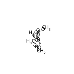 C=CC(=O)N1CCC=C(c2c(C3CC3)nc(N3CCN(C(=O)CCOC)[C@H](C)C3)c(C#N)c2C)C1